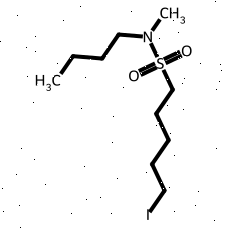 CCCCN(C)S(=O)(=O)CCCCCI